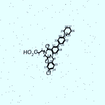 O=C(O)CCN1CC(=O)N(Cc2ccc(Cl)cc2)c2ccc(-c3ccc(N4CCCCC4)cc3)cc2C1=O